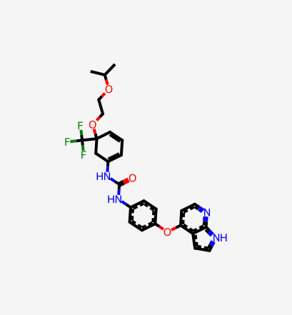 CC(C)OCCOC1(C(F)(F)F)C=CC=C(NC(=O)Nc2ccc(Oc3ccnc4[nH]ccc34)cc2)C1